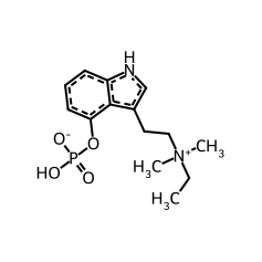 CC[N+](C)(C)CCc1c[nH]c2cccc(OP(=O)([O-])O)c12